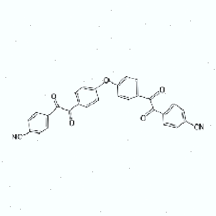 N#Cc1ccc(C(=O)C(=O)c2ccc(Oc3ccc(C(=O)C(=O)c4ccc(C#N)cc4)cc3)cc2)cc1